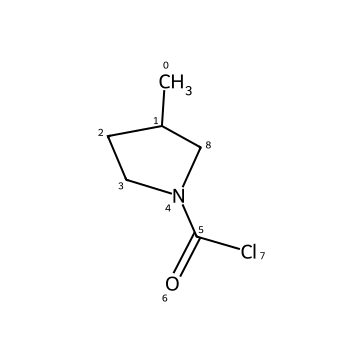 CC1CCN(C(=O)Cl)C1